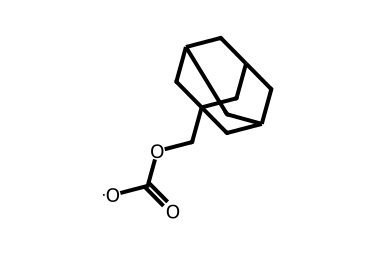 [O]C(=O)OCC12CC3CC(CC(C3)C1)C2